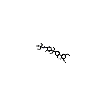 CCc1cc(OC)c(O)c(-c2ccc(C(CC)(CC)c3ccc(/C=C/C(O)(CC)CC)c(C)c3)cc2C)c1